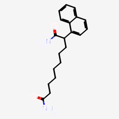 NC(=O)CCCCCCCC(C(N)=O)c1cccc2ccccc12